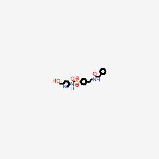 O=C(Cc1ccccc1)NCCc1ccc(S(=O)(=O)C(=O)Nc2ccc(CO)nc2)cc1